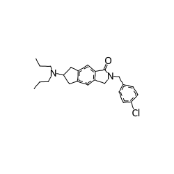 CCCN(CCC)C1Cc2cc3c(cc2C1)C(=O)N(Cc1ccc(Cl)cc1)C3